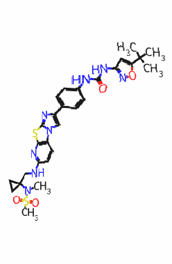 CN(C1(CNc2ccc3c(n2)sc2nc(-c4ccc(NC(=O)Nc5cc(C(C)(C)C)on5)cc4)cn23)CC1)S(C)(=O)=O